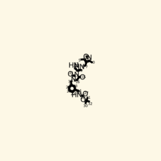 Cc1noc(C)c1CN/C=C(\C=N)N1C(=O)CN(Cc2cccc(CNC(=O)OC(C)(C)C)c2)C1=O